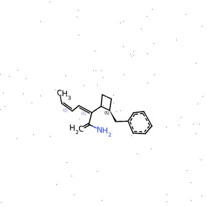 C=C(N)/C(=C\C=C/C)C1CC[C@H]1Cc1ccccc1